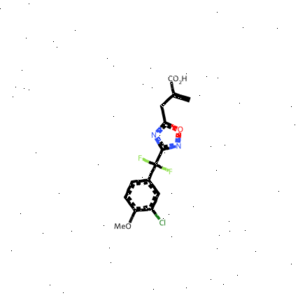 C=C(Cc1nc(C(F)(F)c2ccc(OC)c(Cl)c2)no1)C(=O)O